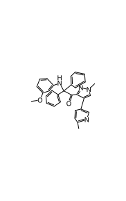 COc1cccc(NC(C(=O)c2nn(C)cc2-c2ccc(C)nc2)(c2ccccc2)c2ccccc2)c1